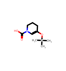 C[Si](C)(C)OC1=CN(C(=O)O)CCC1